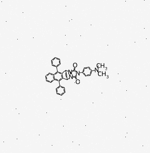 CN(C)c1ccc(-n2c(=O)n3n(c2=O)C2C=CC3c3c2c(-c2ccccc2)c2ccccc2c3-c2ccccc2)cc1